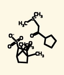 CC12CCC(C(S(=O)(=O)[O-])C1=O)C2(C)C.C[S+](C)CC(=O)C1CCCC1